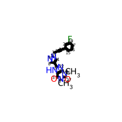 Cn1c(=O)c2[nH]c(-c3cnn(CC#Cc4cccc(F)c4)c3)nc2n(C)c1=O